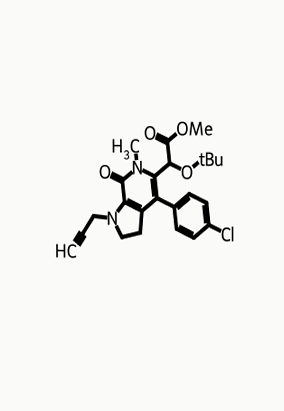 C#CCN1CCc2c(-c3ccc(Cl)cc3)c(C(OC(C)(C)C)C(=O)OC)n(C)c(=O)c21